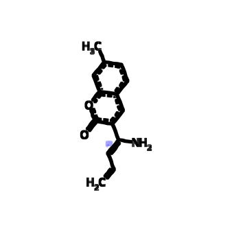 C=C/C=C(\N)c1cc2ccc(C)cc2oc1=O